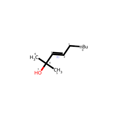 CCCCC/C=C/C(C)(C)O